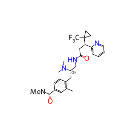 CNC(=O)c1ccc(C[C@@H](CNC(=O)CC(c2ccccn2)C2(C(F)(F)F)CC2)N(C)C)c(C)c1